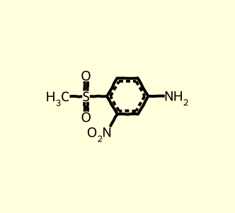 CS(=O)(=O)c1ccc(N)cc1[N+](=O)[O-]